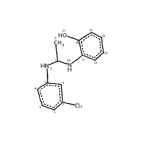 CC(Nc1cccc(Cl)c1)Nc1ccccc1O